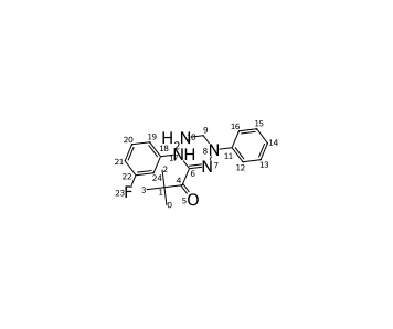 CC(C)(C)C(=O)C(=NN(CN)c1ccccc1)Nc1cccc(F)c1